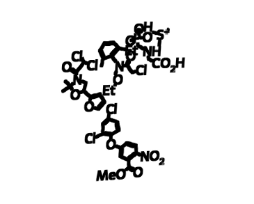 CC1(C)OC(c2ccco2)CN1C(=O)C(Cl)Cl.CCOCN(C(=O)CCl)c1c(C)cccc1CC.COC(=O)c1cc(Oc2ccc(Cl)cc2Cl)ccc1[N+](=O)[O-].C[S+](C)C.O=C(O)CNCP(=O)([O-])O